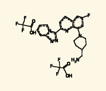 NCC1CCN(c2cc(F)cc3ccc(-c4nnc5ccccn45)nc23)CC1.O=C(O)C(F)(F)F.O=C(O)C(F)(F)F